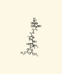 CC1OC(C)OC(C)O1.N=C(N)Nc1nc(CSCCC(=N)NS(N)(=O)=O)cs1